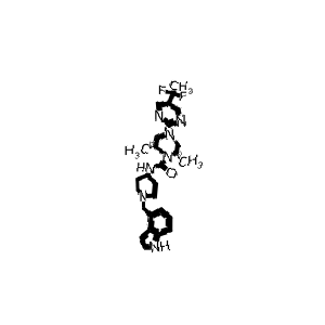 C[C@@H]1CN(c2ncc(C(C)(F)F)cn2)C[C@H](C)N1C(=O)NC1CCN(Cc2cccc3[nH]ccc23)CC1